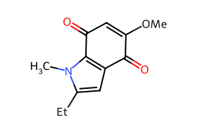 CCc1cc2c(n1C)C(=O)C=C(OC)C2=O